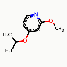 COc1[c]c(OC(C)C)ccn1